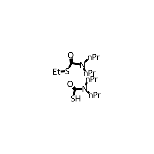 CCCN(CCC)C(=O)S.CCCN(CCC)C(=O)SCC